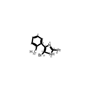 Cc1ccccc1-c1nc(C(C)C)[nH]c1Br